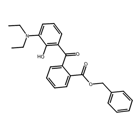 CCN(CC)c1cccc(C(=O)c2ccccc2C(=O)OCc2ccccc2)c1O